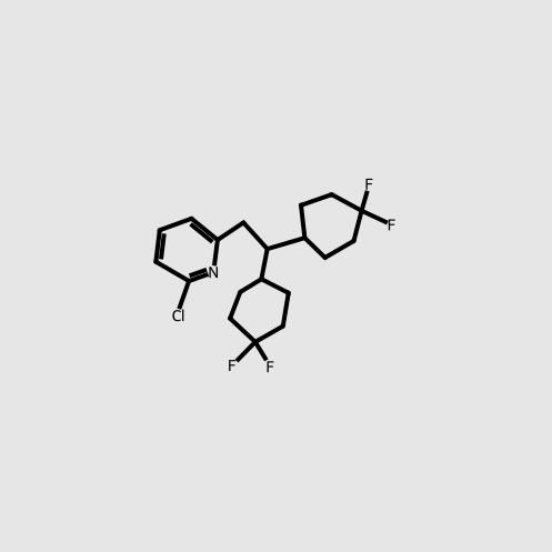 FC1(F)CCC(C(Cc2cccc(Cl)n2)C2CCC(F)(F)CC2)CC1